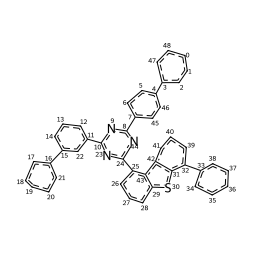 c1ccc(-c2ccc(-c3nc(-c4cccc(-c5ccccc5)c4)nc(-c4cccc5sc6c(-c7ccccc7)cccc6c45)n3)cc2)cc1